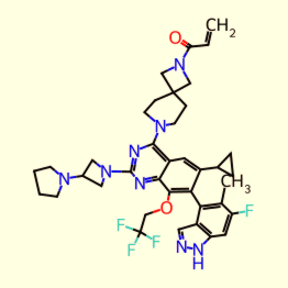 C=CC(=O)N1CC2(CCN(c3nc(N4CC(N5CCCC5)C4)nc4c(OCC(F)(F)F)c(-c5c(C)c(F)cc6[nH]ncc56)c(C5CC5)cc34)CC2)C1